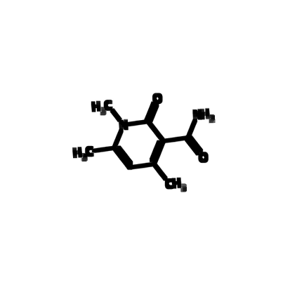 Cc1cc(C)n(C)c(=O)c1C(N)=O